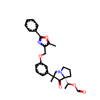 Cc1oc(-c2ccccc2)nc1COc1cccc(C(C)(C)C(=O)[C@]2(C(C)OC=O)CCCN2)c1